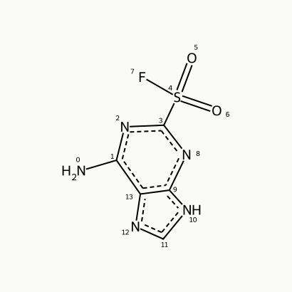 Nc1nc(S(=O)(=O)F)nc2[nH]cnc12